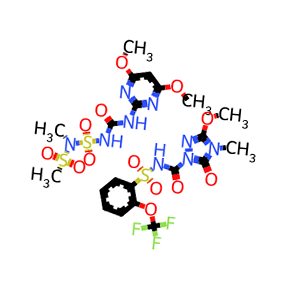 COc1cc(OC)nc(NC(=O)NS(=O)(=O)N(C)S(C)(=O)=O)n1.COc1nn(C(=O)NS(=O)(=O)c2ccccc2OC(F)(F)F)c(=O)n1C